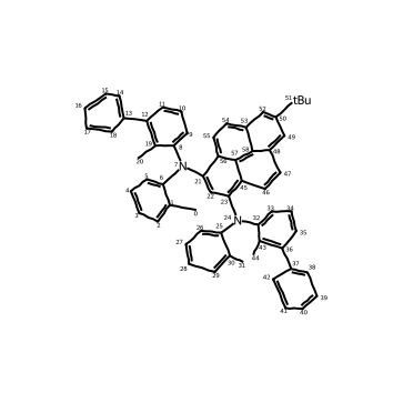 Cc1ccccc1N(c1cccc(-c2ccccc2)c1C)c1cc(N(c2ccccc2C)c2cccc(-c3ccccc3)c2C)c2ccc3cc(C(C)(C)C)cc4ccc1c2c43